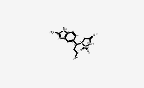 Cc1nc2cc(C(CCC(C)C)N3CC(=O)NS3(=O)=O)ccc2[nH]1